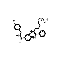 C[C@H](CCc1nc2cc(C(=O)N(C)Cc3ccc(F)cc3)ccc2nc1-c1ccccc1)CC(=O)O